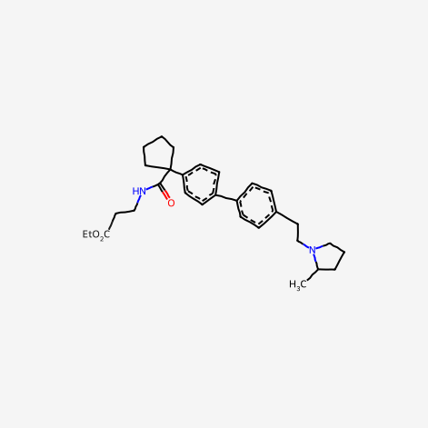 CCOC(=O)CCNC(=O)C1(c2ccc(-c3ccc(CCN4CCCC4C)cc3)cc2)CCCC1